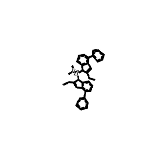 CCC1=Cc2c(-c3ccccc3)cccc2[CH]1[Zr]([CH]1C(CC)=Cc2c(-c3ccccc3)cccc21)=[Ge]([CH3])[CH3]